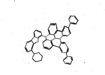 c1ccc(-c2ccc3c(c2)-c2cccc4c2B2c5c(cccc5N4c4cccc5c4oc4c(C6CCCCC6)cccc45)-c4cc(-c5ccccc5)ccc4N23)cc1